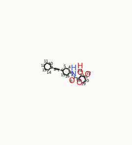 O=C(Nc1ccc(C#Cc2ccccc2)cc1)c1occc(=O)c1O